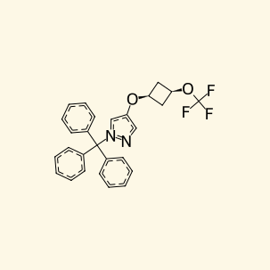 FC(F)(F)O[C@H]1C[C@@H](Oc2cnn(C(c3ccccc3)(c3ccccc3)c3ccccc3)c2)C1